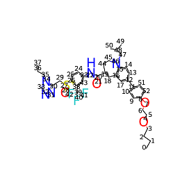 CCCCOCCOc1ccc(-c2ccc3c(c2)C=C(C(=O)Nc2ccc([S+]([O-])Cc4nncn4CCC)c(C(F)(F)F)c2)CCN3CC(C)C)cc1